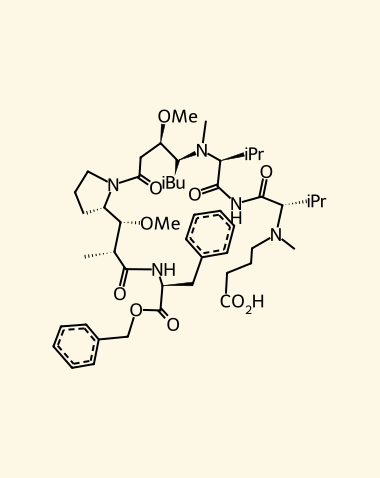 CC[C@H](C)[C@@H]([C@@H](CC(=O)N1CCC[C@H]1[C@H](OC)[C@@H](C)C(=O)N[C@@H](Cc1ccccc1)C(=O)OCc1ccccc1)OC)N(C)[C@H](C(=O)NC(=O)[C@H](C(C)C)N(C)CCCC(=O)O)C(C)C